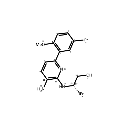 COc1ccc(C(C)C)cc1-c1ccc(N)c(N[C@H](CO)C(C)C)n1